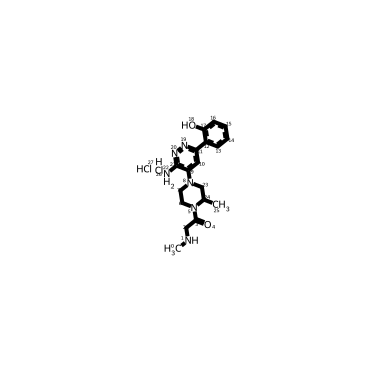 CNCC(=O)N1CCN(c2cc(-c3ccccc3O)nnc2N)CC1C.Cl.Cl